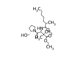 CCCCCC(C)C(=O)N[C@H](C(=O)N1CCC[C@H]1CO)C(C)(C)C(=O)OCC